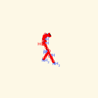 CCc1c2c(nc3ccccc13)-c1cc3c(c(=O)n1C2)COC(=O)[C@@]3(CC)OC(=O)[C@@H](NC(=O)[C@@H]1CCCN1C(=O)[C@H](CC(=O)O)NC(=O)CCOCCOCCOCCNC(=O)[C@H](CCCCNC(=O)CCOCCOCCOCCN)NC(=O)CCOCCOCCOCCN)C(C)C